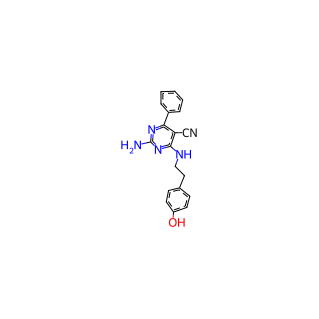 N#Cc1c(NCCc2ccc(O)cc2)nc(N)nc1-c1ccccc1